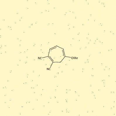 COC1=CC=CC(C#N)=C(C#N)C1